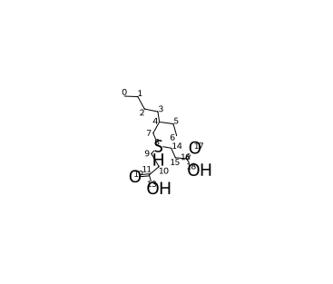 CCCCC(CC)C[SH](CCC(=O)O)CCC(=O)O